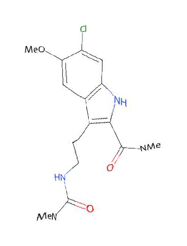 CNC(=O)NCCc1c(C(=O)NC)[nH]c2cc(Cl)c(OC)cc12